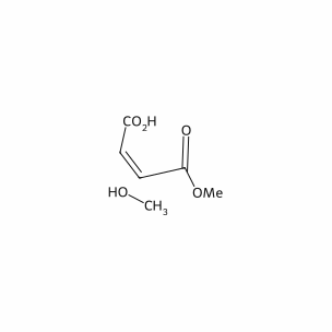 CO.COC(=O)/C=C\C(=O)O